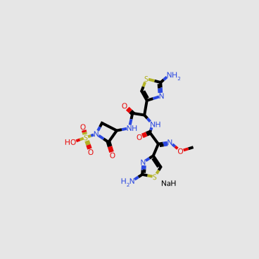 CON=C(C(=O)NC(C(=O)NC1CN(S(=O)(=O)O)C1=O)c1csc(N)n1)c1csc(N)n1.[NaH]